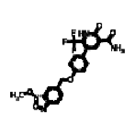 CO[n+]1onc2ccc(COc3ccc(-c4cc(C(N)=O)c(=O)[nH]c4C(F)(F)F)cc3)cc21